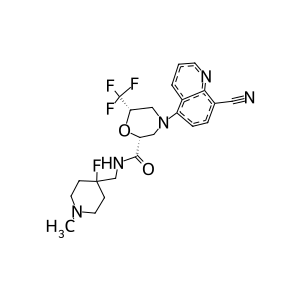 CN1CCC(F)(CNC(=O)[C@H]2CN(c3ccc(C#N)c4ncccc34)C[C@@H](C(F)(F)F)O2)CC1